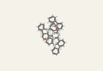 c1ccc(-n2c3ccccc3c3cccc(-c4nc(-c5cccc6c5oc5ccccc56)nc(-c5cccc6c7ccccc7n(-c7ccccc7)c56)n4)c32)cc1